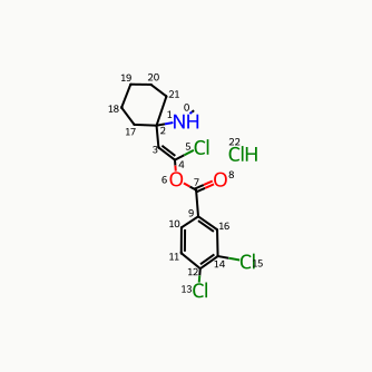 CNC1(C=C(Cl)OC(=O)c2ccc(Cl)c(Cl)c2)CCCCC1.Cl